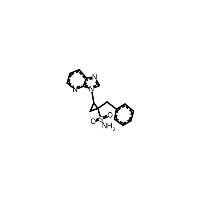 NS(=O)(=O)C1(Cc2ccccc2)CC1n1cnc2cccnc21